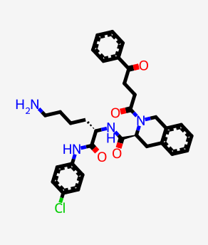 NCCCC[C@H](NC(=O)[C@@H]1Cc2ccccc2CN1C(=O)CCC(=O)c1ccccc1)C(=O)Nc1ccc(Cl)cc1